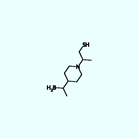 BC(C)C1CCN(C(C)CS)CC1